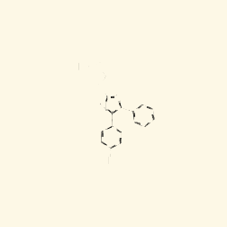 O=C(O)CSc1nc(-c2ccc(F)cc2)c(-c2ccccc2)s1